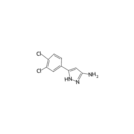 Nc1cc(-c2ccc(Cl)c(Cl)c2)[nH]n1